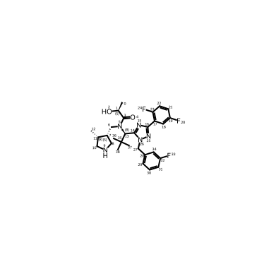 C[C@H](O)C(=O)N(C[C@@H]1CNC[C@@H]1C)[C@@H](c1nc(-c2cc(F)ccc2F)nn1Cc1cccc(F)c1)C(C)(C)C